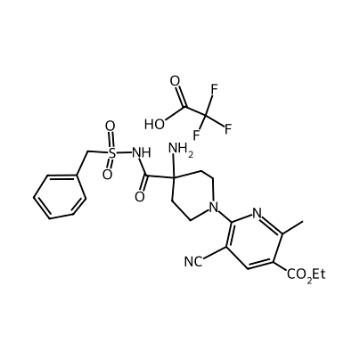 CCOC(=O)c1cc(C#N)c(N2CCC(N)(C(=O)NS(=O)(=O)Cc3ccccc3)CC2)nc1C.O=C(O)C(F)(F)F